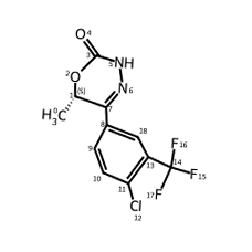 C[C@@H]1OC(=O)NN=C1c1ccc(Cl)c(C(F)(F)F)c1